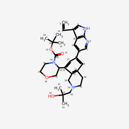 C=Cc1c[nH]c2ncc(-c3cc4c(c(C5COCCN5C(=O)OC(C)(C)C)c3)CN(CC(C)(C)O)CC4)cc12